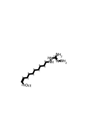 CCCCCCCC/C=C\CCCCCCCCNNC(N)=NN